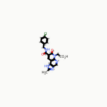 Cc1nc2cnc3c(cc(C(=O)NCc4ccc(Cl)cc4)c(=O)n3CC(=O)O)c2[nH]1